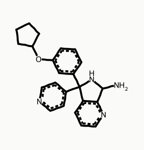 NC1NC(c2ccncc2)(c2cccc(OC3CCCC3)c2)c2cccnc21